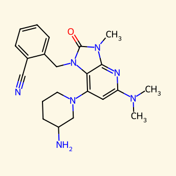 CN(C)c1cc(N2CCCC(N)C2)c2c(n1)n(C)c(=O)n2Cc1ccccc1C#N